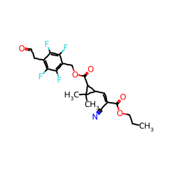 CCCOC(=O)/C(C#N)=C/C1C(C(=O)OCc2c(F)c(F)c(CC=O)c(F)c2F)C1(C)C